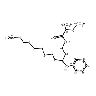 CCCCCCCCCCCCCCCCCCC(CCOC(=O)C(CC(=O)O)S(=O)(=O)O)Oc1ccccc1